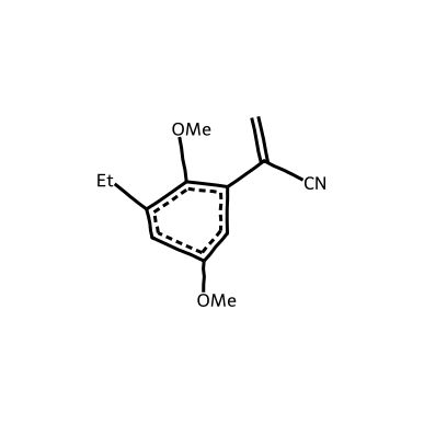 C=C(C#N)c1cc(OC)cc(CC)c1OC